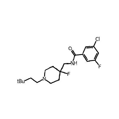 CC(C)(C)CCN1CCC(F)(CNC(=O)c2cc(F)cc(Cl)c2)CC1